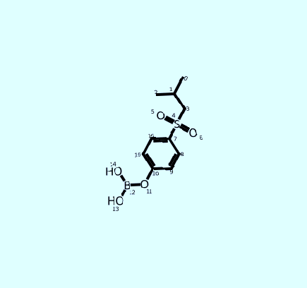 CC(C)CS(=O)(=O)c1ccc(OB(O)O)cc1